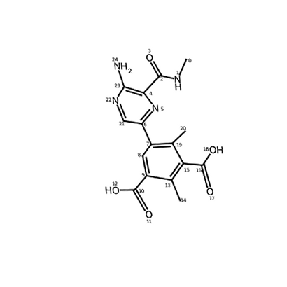 CNC(=O)c1nc(-c2cc(C(=O)O)c(C)c(C(=O)O)c2C)cnc1N